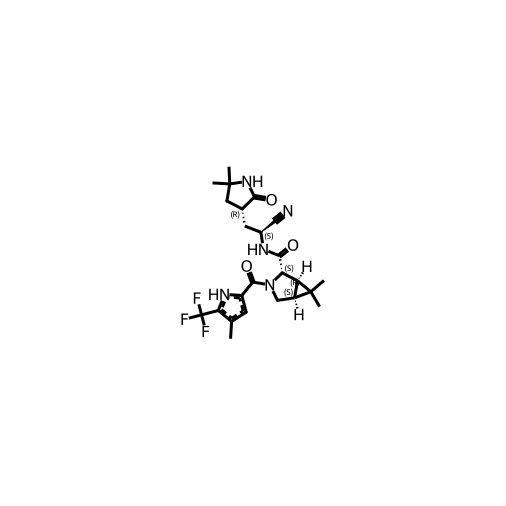 Cc1cc(C(=O)N2C[C@H]3[C@@H]([C@H]2C(=O)N[C@H](C#N)C[C@@H]2CC(C)(C)NC2=O)C3(C)C)[nH]c1C(F)(F)F